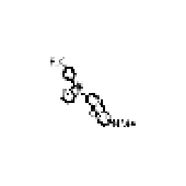 CNc1ccnc(Cn2ccc(-n3nc(-c4ccc(C(F)(F)F)cc4)c4ncccc43)cc2=O)n1